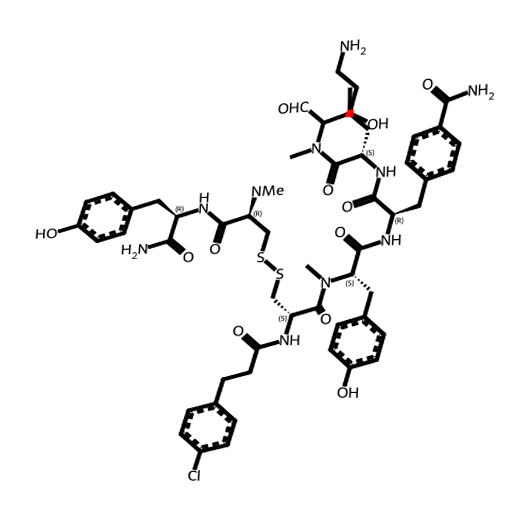 CN[C@@H](CSSC[C@@H](NC(=O)CCc1ccc(Cl)cc1)C(=O)N(C)[C@@H](Cc1ccc(O)cc1)C(=O)N[C@H](Cc1ccc(C(N)=O)cc1)C(=O)N[C@@H](CCCCN)C(=O)N(C)C(C=O)C(C)O)C(=O)N[C@H](Cc1ccc(O)cc1)C(N)=O